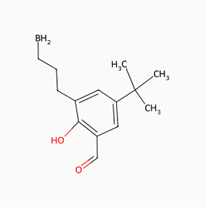 BCCCc1cc(C(C)(C)C)cc(C=O)c1O